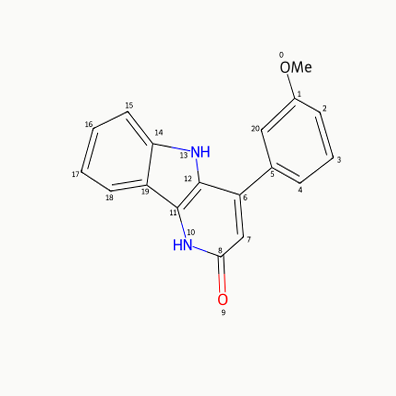 COc1cccc(-c2cc(=O)[nH]c3c2[nH]c2ccccc23)c1